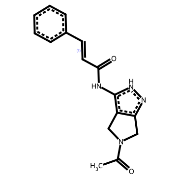 CC(=O)N1Cc2n[nH]c(NC(=O)/C=C/c3ccccc3)c2C1